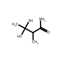 CC(C(N)=O)C(C)(S)S